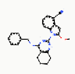 COc1cc2c(C#N)cccc2n1-c1nc2c(c(NCc3ccccc3)n1)CCCC2